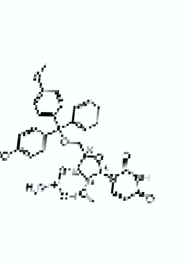 COc1ccc(C(OC[C@H]2O[C@@H](n3ccc(=O)[nH]c3=O)[C@H](OC)[C@@H]2OP(N)O)(c2ccccc2)c2ccc(OC)cc2)cc1